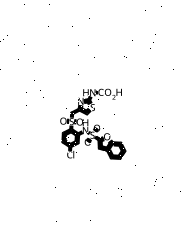 O=C(O)Nc1nc(CS(=O)(=O)c2ccc(Cl)cc2NS(=O)(=O)c2cc3ccccc3o2)cs1